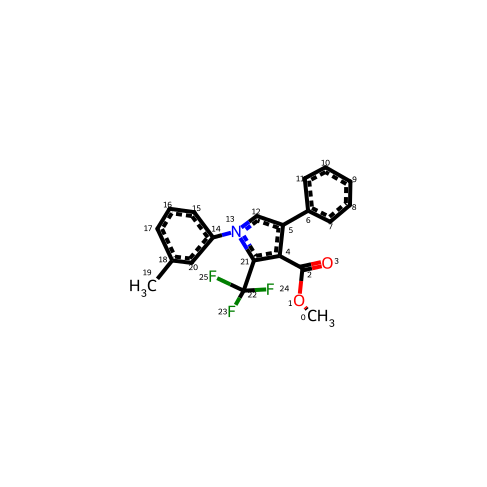 COC(=O)c1c(-c2ccccc2)cn(-c2cccc(C)c2)c1C(F)(F)F